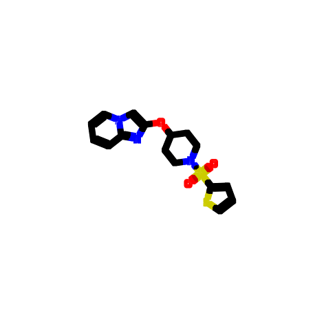 O=S(=O)(c1cccs1)N1CCC(Oc2cn3ccccc3n2)CC1